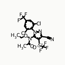 CCON(C(C)=O)c1c([S+]([O-])C(F)(F)F)c(C#N)nn1-c1c(Cl)cc(C(F)(F)F)cc1Cl